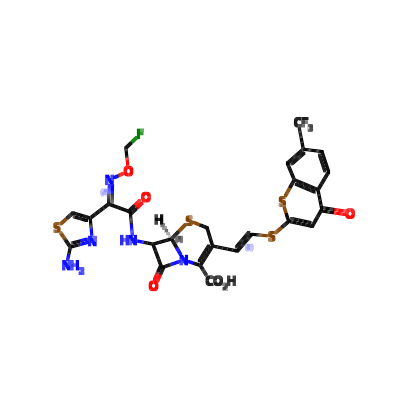 Nc1nc(/C(=N/OCF)C(=O)NC2C(=O)N3C(C(=O)O)=C(/C=C/Sc4cc(=O)c5ccc(C(F)(F)F)cc5s4)CS[C@H]23)cs1